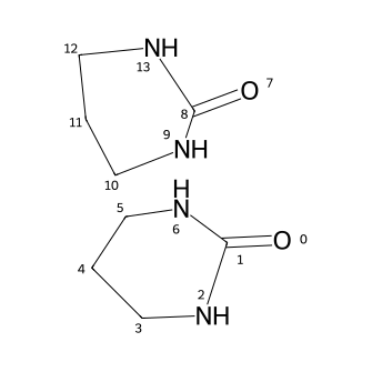 O=C1NCCCN1.O=C1NCCCN1